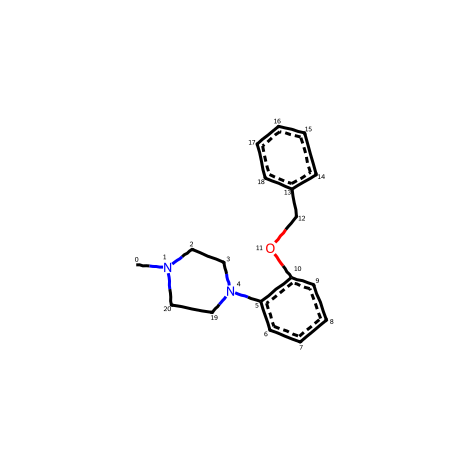 CN1CCN(c2ccccc2OCc2ccccc2)CC1